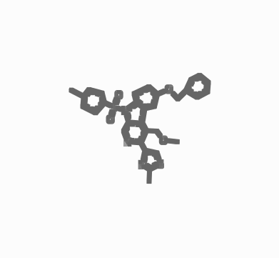 COCc1c(-c2csc(C)n2)ncc2c1c1cc(OCc3ccccc3)ccc1n2S(=O)(=O)c1ccc(C)cc1